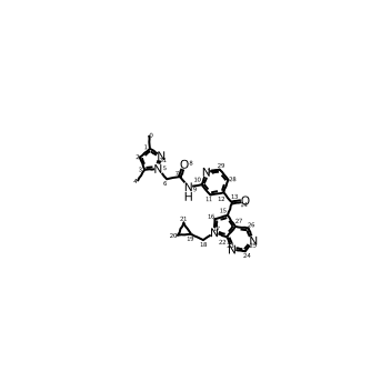 Cc1cc(C)n(CC(=O)Nc2cc(C(=O)c3cn(CC4CC4)c4ncncc34)ccn2)n1